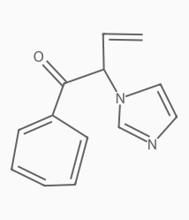 C=CC(C(=O)c1ccccc1)n1ccnc1